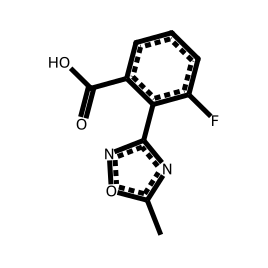 Cc1nc(-c2c(F)cccc2C(=O)O)no1